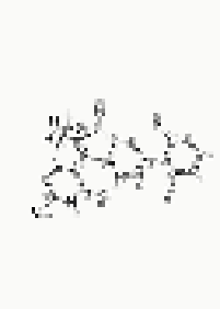 CC1(C)[C@H]2CC[C@]1(c1ccc(Cl)nc1Cl)c1nnc(-c3c(F)cccc3F)cc12